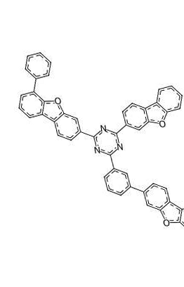 c1ccc(-c2cccc3c2oc2cc(-c4nc(-c5cccc(-c6ccc7c(c6)oc6ccccc67)c5)nc(-c5ccc6c(c5)oc5ccccc56)n4)ccc23)cc1